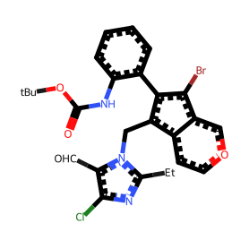 CCc1nc(Cl)c(C=O)n1Cc1c2ccocc-2c(Br)c1-c1ccccc1NC(=O)OC(C)(C)C